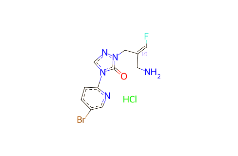 Cl.NC/C(=C/F)Cn1ncn(-c2ccc(Br)cn2)c1=O